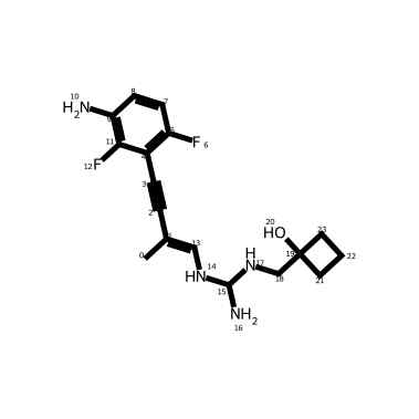 C/C(C#Cc1c(F)ccc(N)c1F)=C\NC(N)NCC1(O)CCC1